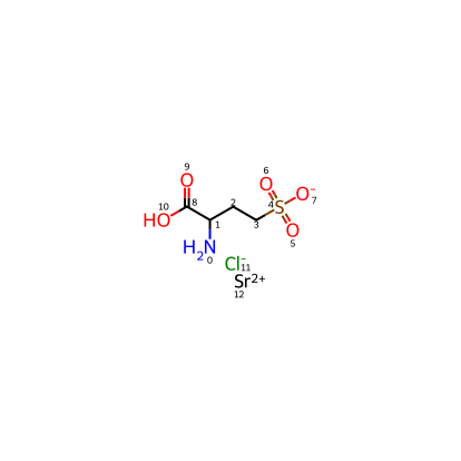 NC(CCS(=O)(=O)[O-])C(=O)O.[Cl-].[Sr+2]